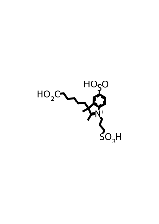 CC1=[N+](CCCS(=O)(=O)O)c2ccc(S(=O)O)cc2C1(C)CCCCCC(=O)O